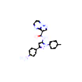 Cc1ccc(-n2nc(-c3ccc(N)cc3)cc2NC(=O)c2cnn3cccnc23)cc1